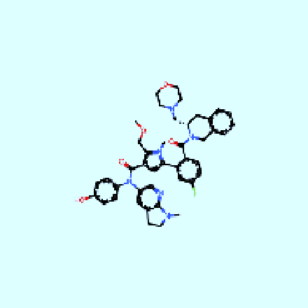 COCc1c(C(=O)N(c2ccc(O)cc2)c2cnc3c(c2)CCN3C)cc(-c2cc(F)ccc2C(=O)N2Cc3ccccc3C[C@H]2CN2CCOCC2)n1C